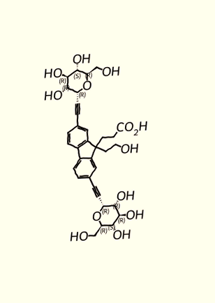 O=C(O)CCC1(CCO)c2cc(C#C[C@H]3O[C@H](CO)[C@@H](O)[C@H](O)[C@H]3O)ccc2-c2ccc(C#C[C@H]3O[C@H](CO)[C@@H](O)[C@H](O)[C@H]3O)cc21